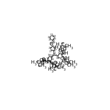 CC(C)(C)OC(=O)Nc1ccc(C2C(c3ccc(OCc4ccccc4)cc3)C2c2ccc(NC(=O)OC(C)(C)C)c(NC(=O)OC(C)(C)C)c2)cc1NC(=O)OC(C)(C)C